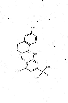 Cc1ccc2c(c1)CC[C@H](C)[C@H]2Nc1nc(N)nc(C(C)(C)F)n1